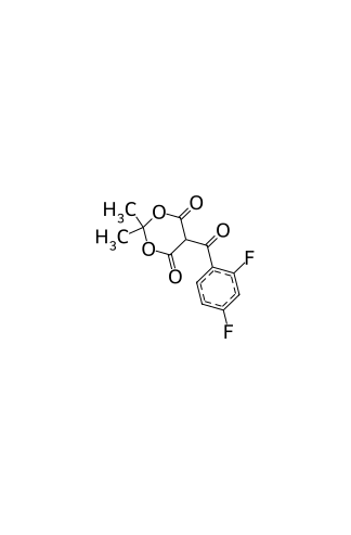 CC1(C)OC(=O)C(C(=O)c2ccc(F)cc2F)C(=O)O1